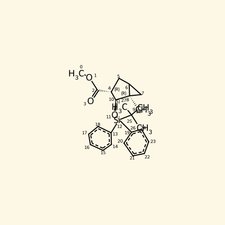 COC(=O)[C@@H]1CC2C[C@@]2(C)[C@H]1O[Si](c1ccccc1)(c1ccccc1)C(C)(C)C